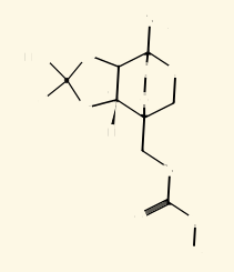 CC(C)(C)OC(=O)NCC12COC(N)(CO1)C1OC(C)(C)O[C@H]12